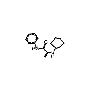 C=C(NC1CCCCC1)C(=O)Nc1ccccc1